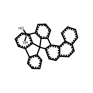 OB(O)c1cccc2c1C1(c3ccccc3-c3ccccc31)c1ccc3ccc4ccccc4c3c1-2